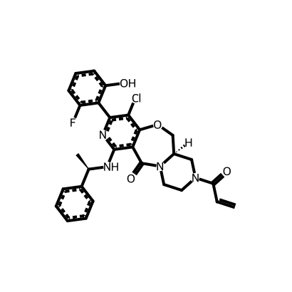 C=CC(=O)N1CCN2C(=O)c3c(N[C@H](C)c4ccccc4)nc(-c4c(O)cccc4F)c(Cl)c3OC[C@H]2C1